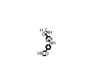 CNC(=O)c1cnc(Nc2ccc(C3CNCCO3)cc2)nc1